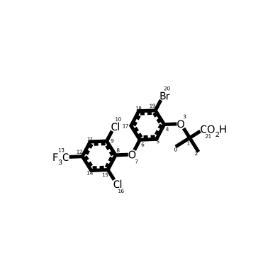 CC(C)(Oc1cc(Oc2c(Cl)cc(C(F)(F)F)cc2Cl)ccc1Br)C(=O)O